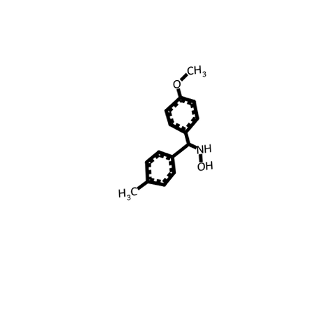 COc1ccc(C(NO)c2ccc(C)cc2)cc1